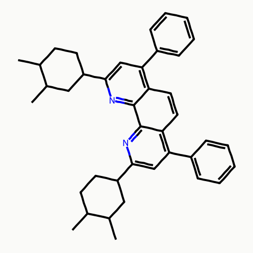 CC1CCC(c2cc(-c3ccccc3)c3ccc4c(-c5ccccc5)cc(C5CCC(C)C(C)C5)nc4c3n2)CC1C